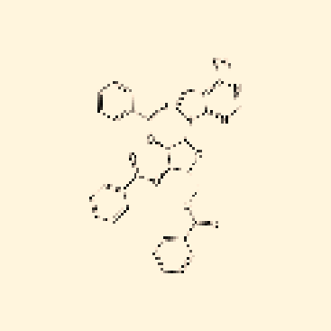 Cc1ncnc2c1ccn2[C@@H]1O[C@H](COC(=O)c2ccccc2)[C@@H](OC(=O)c2ccccc2)[C@H]1OC(=O)c1ccccc1